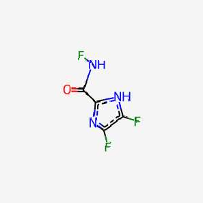 O=C(NF)c1nc(F)c(F)[nH]1